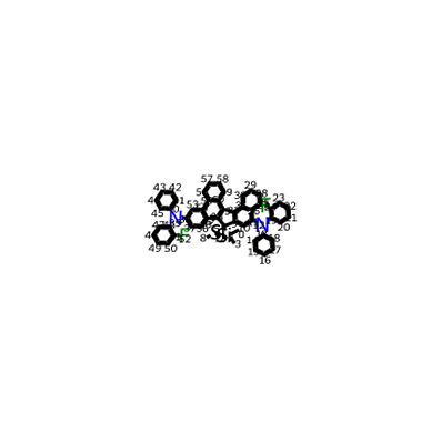 C[Si](C)(C)C1([Si](C)(C)C)c2cc(N(c3ccccc3)c3ccccc3F)c3ccccc3c2-c2c1c1ccc(N(c3ccccc3)c3ccccc3F)cc1c1ccccc21